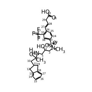 CN(CC(O)CNC(C)(C)CC1Cc2ccccc2C1)S(=O)(=O)c1ccc(C=CCC(=O)O)c(C(F)(F)F)c1